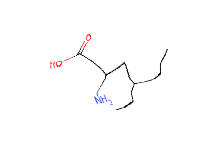 CCC(CC)CC(N)C(=O)O